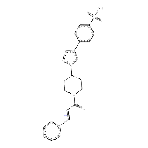 NS(=O)(=O)c1ccc(-c2cn(C3CCN(C(=O)/C=C/c4ccccc4)CC3)nn2)cc1